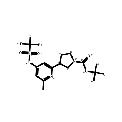 Cc1cc(OS(=O)(=O)C(F)(F)F)cc(C2CCN(C(=O)OC(C)(C)C)C2)n1